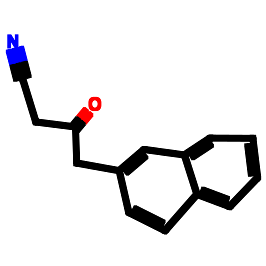 N#CCC(=O)Cc1ccc2ccccc2c1